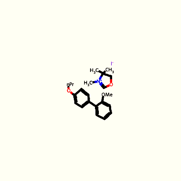 CCCOc1ccc(-c2ccccc2OC)cc1.C[N+]1=COCC1(C)C.[I-]